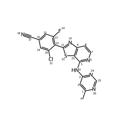 Cc1cc(Nc2nccc3nc(-c4c(F)cc(C#N)cc4Cl)sc23)ncn1